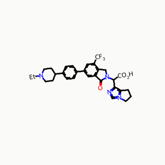 CCN1CCC(c2ccc(-c3cc4c(c(C(F)(F)F)c3)CN(C(C(=O)O)c3ncn5c3CCC5)C4=O)cc2)CC1